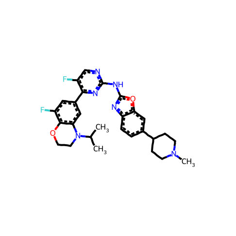 CC(C)N1CCOc2c(F)cc(-c3nc(Nc4nc5ccc(C6CCN(C)CC6)cc5o4)ncc3F)cc21